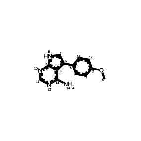 COc1ccc(-c2c[nH]c3ncnc(N)c23)cc1